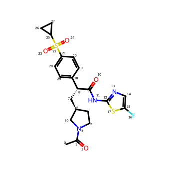 CC(=O)N1CC[C@H](C[C@@H](C(=O)Nc2ncc(F)s2)c2ccc(S(=O)(=O)C3CC3)cc2)C1